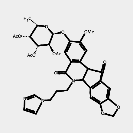 COc1cc2c(cc1O[C@@H]1O[C@@H](C)[C@@H](OC(C)=O)[C@@H](OC(C)=O)[C@@H]1OC(C)=O)C(=O)N(CCCn1ccnc1)C1c3cc4c(cc3C(=O)C21)OCO4